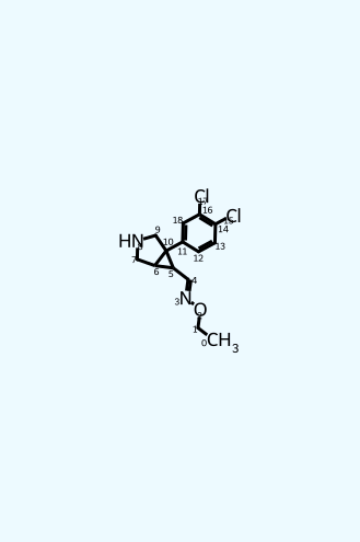 CCON=CC1C2CNCC12c1ccc(Cl)c(Cl)c1